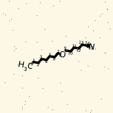 CCCCCCCCOCCCCCC#N